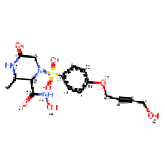 CC1NC(=O)CN(S(=O)(=O)c2ccc(OCC#CCO)cc2)C1C(=O)NO